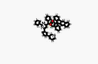 c1ccc(-c2nc(-c3cccc(-c4cccnc4)c3)cc(-c3ccc(-c4cccc5c4C(c4ccccc4)(c4ccccc4)c4cc6ccccc6cc4-5)c4ccccc34)n2)cc1